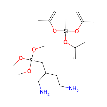 C=C(C)O[Si](C)(OC(=C)C)OC(=C)C.CO[Si](CC(CN)CCN)(OC)OC